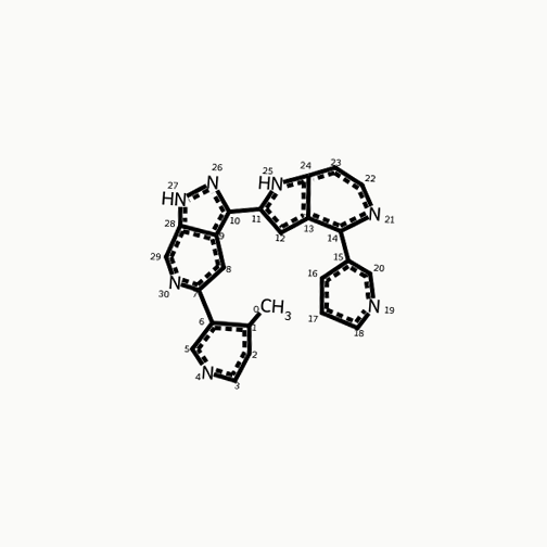 Cc1ccncc1-c1cc2c(-c3cc4c(-c5cccnc5)nccc4[nH]3)n[nH]c2cn1